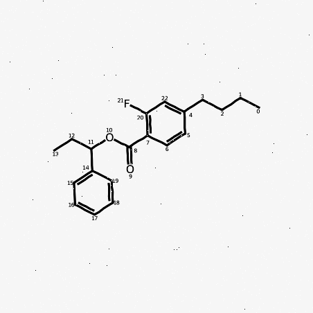 CCCCc1ccc(C(=O)OC(CC)c2ccccc2)c(F)c1